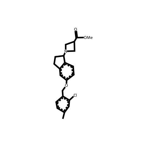 COC(=O)C1CN(C2CCc3cc(OCc4ccc(C)cc4Cl)ccc32)C1